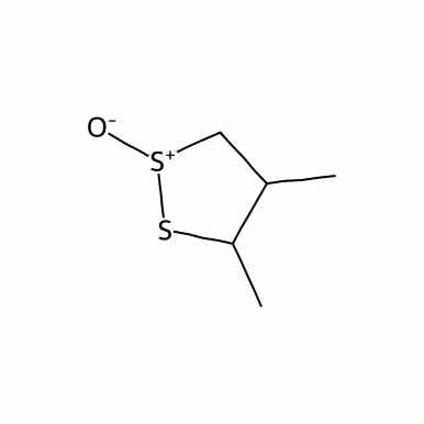 CC1C[S+]([O-])SC1C